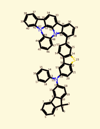 CC1(C)c2ccccc2-c2cc(N(c3ccccc3)c3ccc4sc5cc(-c6cccc7c8ccc9c%10ccccc%10n%10c%11ccccc%11n(c67)c8c9%10)ccc5c4c3)ccc21